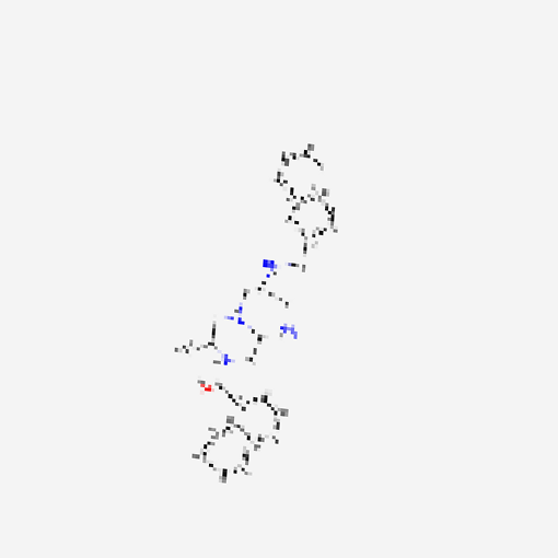 CCCCC1CN(CC(CN)NCc2ccc3ccccc3c2)CCN1C(=O)c1cccc2ccccc12